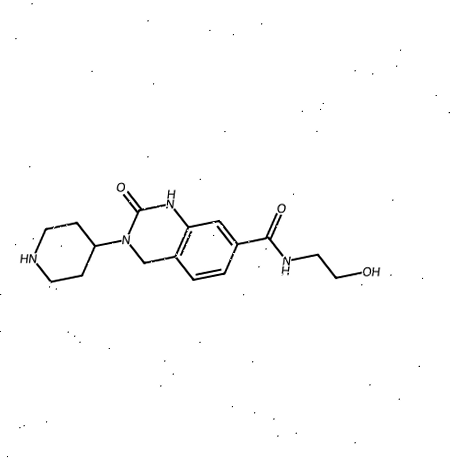 O=C(NCCO)c1ccc2c(c1)NC(=O)N(C1CCNCC1)C2